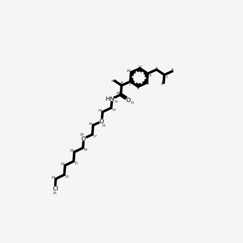 CC(C)Cc1ccc(C(C)C(=O)NCCOCCOCCCCCCCl)cc1